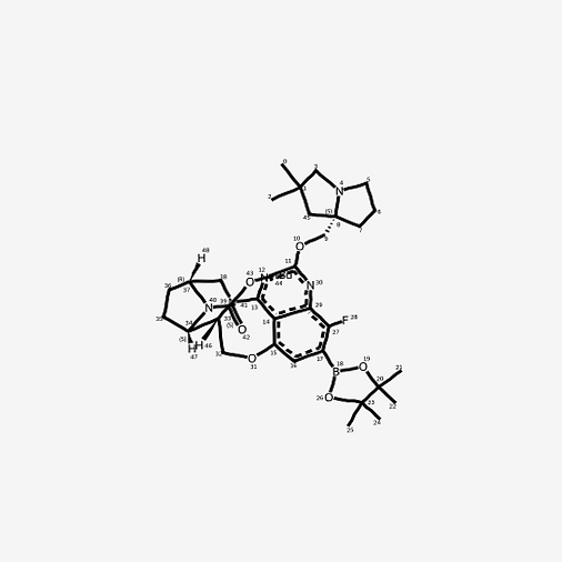 CC1(C)CN2CCC[C@@]2(COc2nc3c4c(cc(B5OC(C)(C)C(C)(C)O5)c(F)c4n2)OC[C@@H]2[C@@H]4CC[C@H](CN32)N4C(=O)OC(C)(C)C)C1